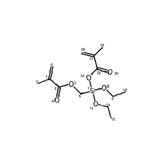 C=C(C)C(=O)OC[Si](OCC)(OCC)OC(=O)C(=C)C